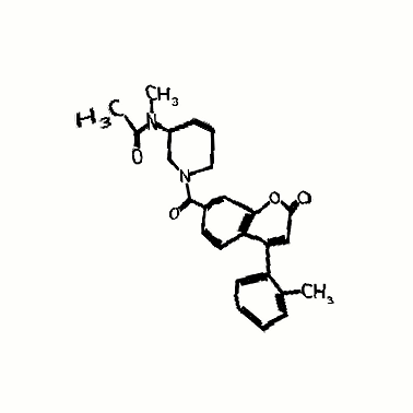 CC(=O)N(C)[C@H]1CCCN(C(=O)c2ccc3c(-c4ccccc4C)cc(=O)oc3c2)C1